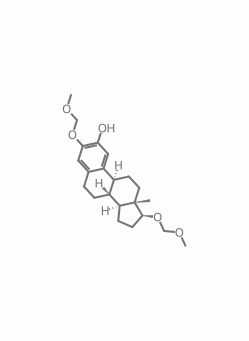 COCOc1cc2c(cc1O)[C@H]1CC[C@]3(C)[C@@H](OCOC)CC[C@H]3[C@@H]1CC2